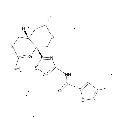 Cc1cc(C(=O)Nc2csc([C@]34CO[C@@H](C)C[C@H]3CSC(N)=N4)n2)on1